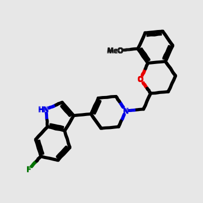 COc1cccc2c1OC(CN1CC=C(c3c[nH]c4cc(F)ccc34)CC1)CC2